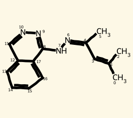 CC(C)=C/C(C)=N\Nc1nncc2ccccc12